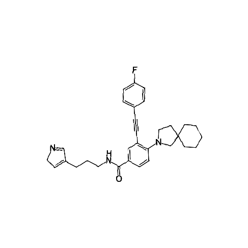 O=C(NCCCC1=CCN=C1)c1ccc(N2CCC3(CCCCC3)C2)c(C#Cc2ccc(F)cc2)c1